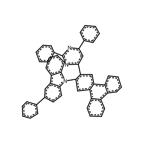 c1ccc(-c2ccc3c(c2)c2ccccc2n3-c2cc3c4ccccc4c4ccccc4c3cc2-c2cc(-c3ccccc3)nc(-c3ccccc3)n2)cc1